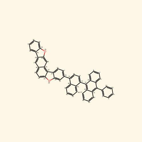 c1ccc(-c2c3ccccc3c(-c3ccc(-c4ccc5c(c4)oc4ccc6cc7c(cc6c45)oc4ccccc47)c4ccccc34)c3ccccc23)cc1